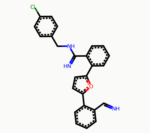 N=Cc1ccccc1-c1ccc(-c2ccccc2C(=N)NCc2ccc(Cl)cc2)o1